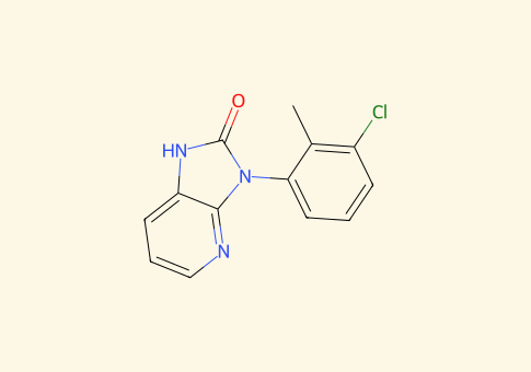 Cc1c(Cl)cccc1-n1c(=O)[nH]c2cccnc21